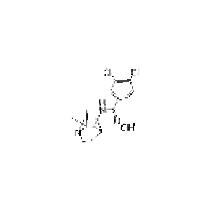 CC1(C)C(NC(=O)c2ccc(Cl)c(Cl)c2)C2CCN1CC2.Cl